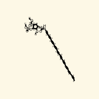 CC#CC#CC#CC#CC#CC#CC#CC#CC#CC#CNC(=O)N[C@@H]1C[C@H](COC)C(OP(=O)(O)OC)[C@@H]1OC